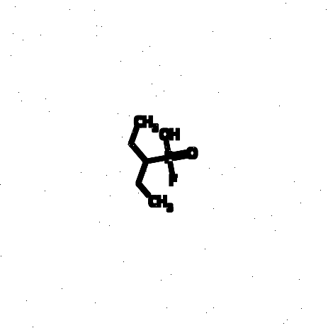 CCC(CC)P(=O)(O)F